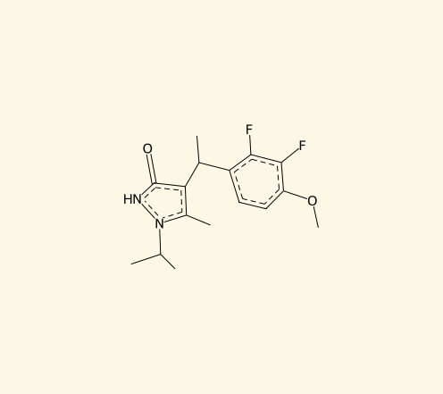 COc1ccc(C(C)c2c(C)n(C(C)C)[nH]c2=O)c(F)c1F